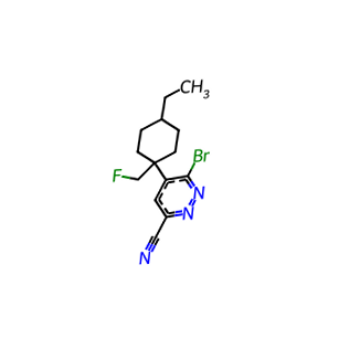 CCC1CCC(CF)(c2cc(C#N)nnc2Br)CC1